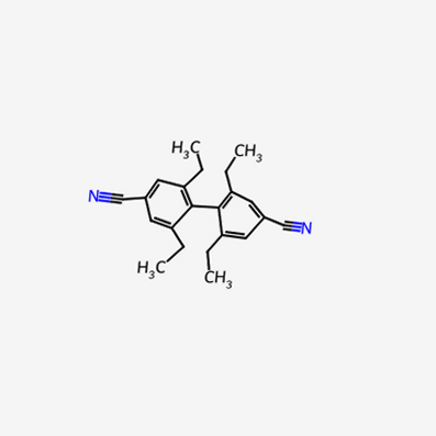 CCc1cc(C#N)cc(CC)c1-c1c(CC)cc(C#N)cc1CC